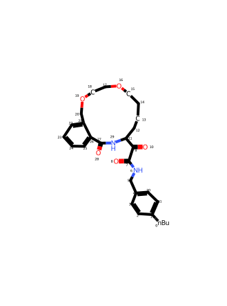 CCCCc1ccc(CNC(=O)C(=O)C2CCCCOCCOCc3ccccc3C(=O)N2)cc1